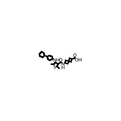 Cc1sc(C)c(C(=O)NC2CC3(C2)CC(C(=O)O)C3)c1Nc1ccc(-c2ccccc2)cc1